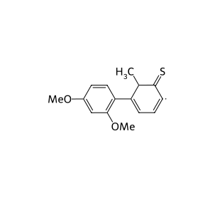 COc1ccc(C2=CC=[C]C(=S)C2C)c(OC)c1